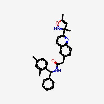 CC1=CC(C)(c2ccc3cc(CC(=O)NC(c4ccccc4)c4ccc(C)cc4C)ccc3n2)NO1